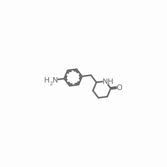 Nc1ccc(CC2CCCC(=O)N2)cc1